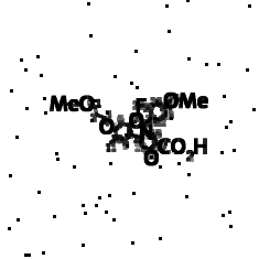 COCCCOc1cc2c(cc1C)-c1cc(=O)c(C(=O)O)cn1C(c1ccc(OC)cc1F)O2